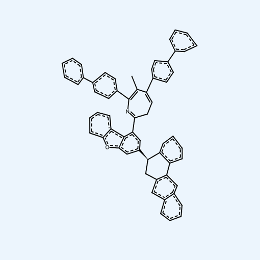 CC1=C(c2ccc(-c3ccccc3)cc2)N=C(c2cc([C@@H]3Cc4cc5ccccc5cc4-c4ccccc43)cc3oc4ccccc4c23)CC=C1c1ccc(-c2ccccc2)cc1